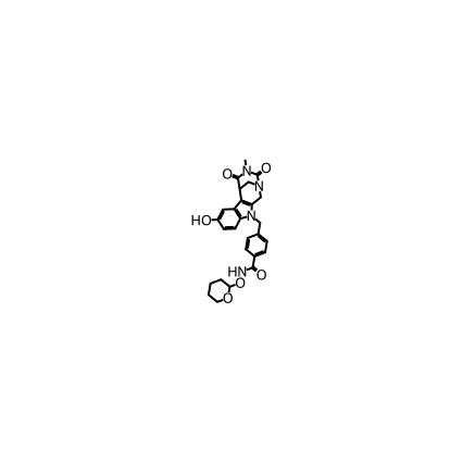 CN1C(=O)C2CN(Cc3c2c2cc(O)ccc2n3Cc2ccc(C(=O)NOC3CCCCO3)cc2)C1=O